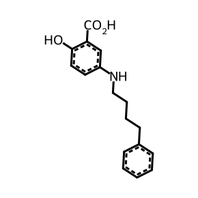 O=C(O)c1cc(NCCCCc2ccccc2)ccc1O